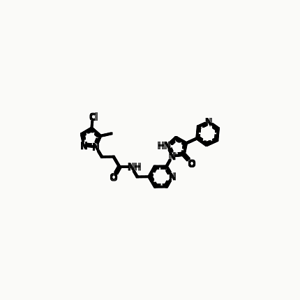 Cc1c(Cl)cnn1CCC(=O)NCc1ccnc(-n2[nH]cc(-c3cccnc3)c2=O)c1